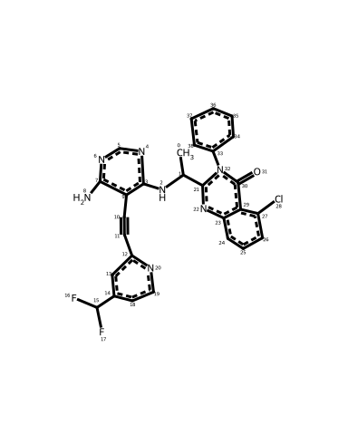 CC(Nc1ncnc(N)c1C#Cc1cc(C(F)F)ccn1)c1nc2cccc(Cl)c2c(=O)n1-c1ccccc1